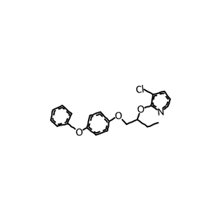 CCC(COc1ccc(Oc2ccccc2)cc1)Oc1ncccc1Cl